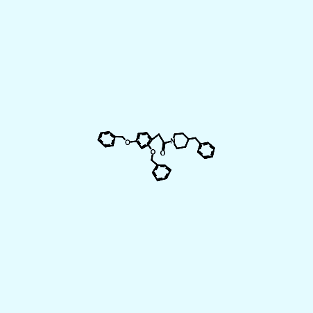 O=C(Cc1ccc(OCc2ccccc2)cc1OCc1ccccc1)N1CCC(Cc2ccccc2)CC1